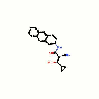 N#C/C(C(=O)Nc1ccc2cc3ccccc3cc2c1)=C(/O)C1CC1